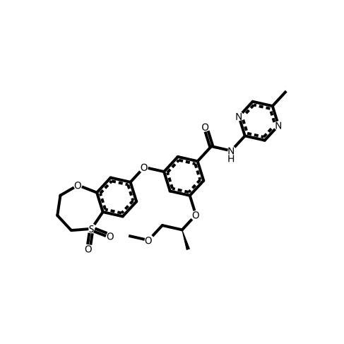 COC[C@H](C)Oc1cc(Oc2ccc3c(c2)OCCCS3(=O)=O)cc(C(=O)Nc2cnc(C)cn2)c1